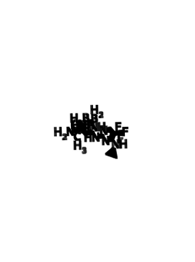 BC(B)(B)N/C(=C\C(=N)C(C)(C)N)Nc1ncc(C(F)(F)F)c(NC2CC2)n1